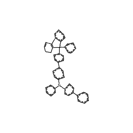 C1=CC2=C(CC1)C(c1ccccc1)(c1ccc(-c3ccc(N(c4ccccc4)c4ccc(-c5ccccc5)cc4)cc3)cc1)c1ccccc12